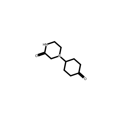 O=C1CCC(N2CCNC(=O)C2)CC1